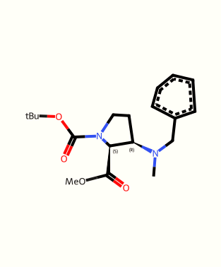 COC(=O)[C@@H]1[C@H](N(C)Cc2ccccc2)CCN1C(=O)OC(C)(C)C